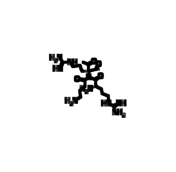 CC(=O)[C@@]([C]=O)(CCCNC(=N)N)N(C(=O)CCCN)C(=O)[C@@H](N)CCCNC(=N)N